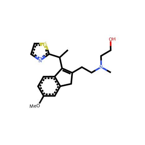 COc1ccc2c(c1)CC(CCN(C)CCO)=C2C(C)c1nccs1